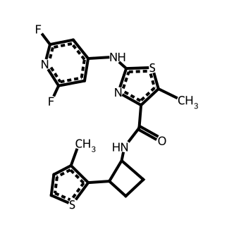 Cc1ccsc1C1CCC1NC(=O)c1nc(Nc2cc(F)nc(F)c2)sc1C